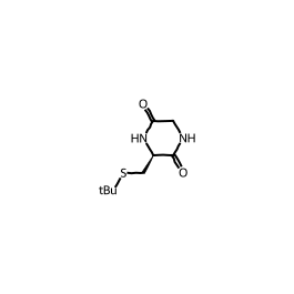 CC(C)(C)SC[C@H]1NC(=O)CNC1=O